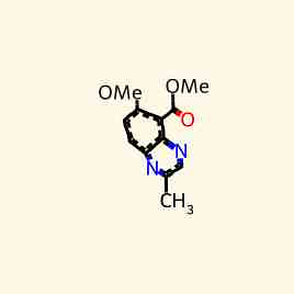 COC(=O)c1c(OC)ccc2nc(C)cnc12